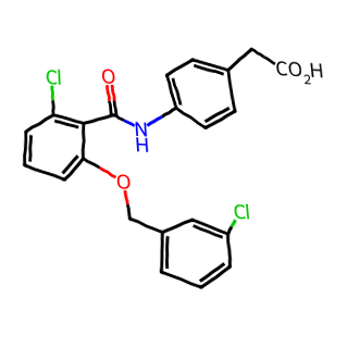 O=C(O)Cc1ccc(NC(=O)c2c(Cl)cccc2OCc2cccc(Cl)c2)cc1